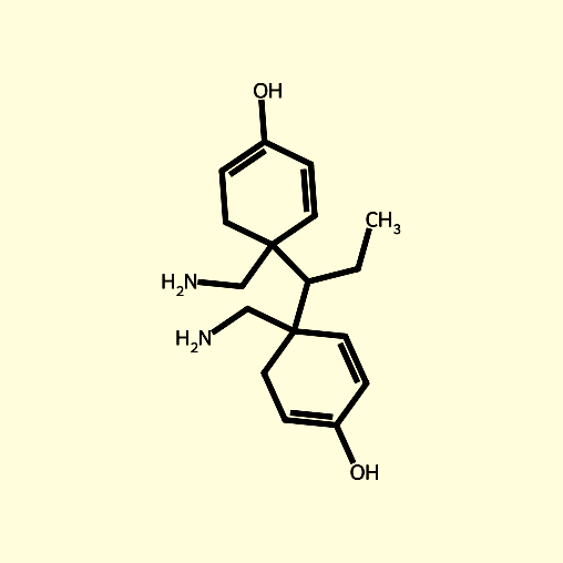 CCC(C1(CN)C=CC(O)=CC1)C1(CN)C=CC(O)=CC1